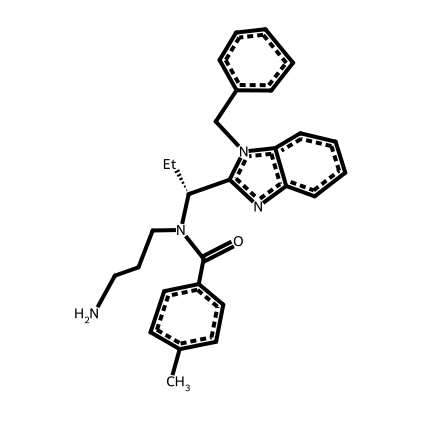 CC[C@H](c1nc2ccccc2n1Cc1ccccc1)N(CCCN)C(=O)c1ccc(C)cc1